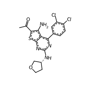 CC(=O)c1sc2nc(N[C@@H]3CCOC3)nc(-c3ccc(Cl)c(Cl)c3)c2c1N